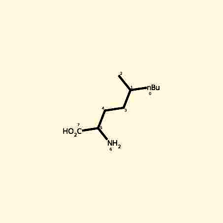 CCCCC(C)CCC(N)C(=O)O